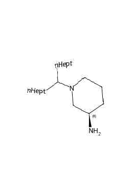 CCCCCCCC(CCCCCCC)N1CCC[C@@H](N)C1